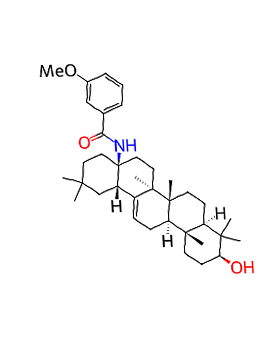 COc1cccc(C(=O)N[C@]23CCC(C)(C)C[C@H]2C2=CC[C@@H]4[C@@]5(C)CC[C@H](O)C(C)(C)[C@@H]5CC[C@@]4(C)[C@]2(C)CC3)c1